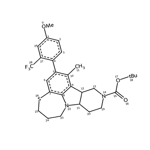 COc1ccc(-c2cc3c4c(c2C)C2CN(C(=O)OC(C)(C)C)CCC2N4CCCS3)c(C(F)(F)F)c1